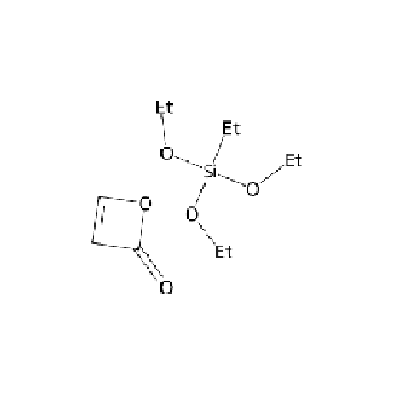 CCO[Si](CC)(OCC)OCC.O=C1C=CO1